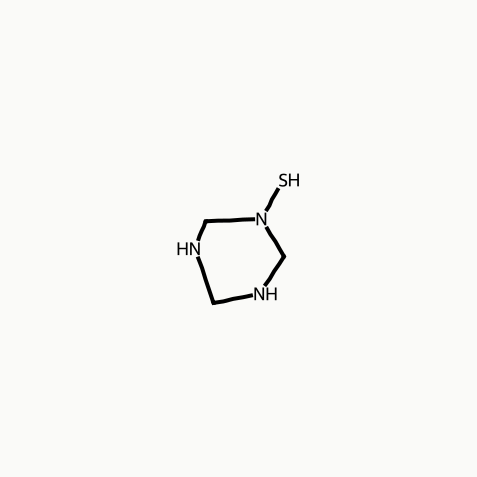 SN1CNCNC1